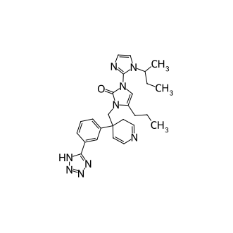 CCCc1cn(-c2nccn2C(C)CC)c(=O)n1CC1(c2cccc(-c3nnn[nH]3)c2)C=CN=CC1